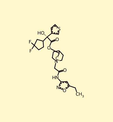 CCc1cc(NC(=O)C[N+]23CCC(CC2)C(OC(=O)[C@](O)(c2ccsc2)C2CCC(F)(F)C2)C3)no1